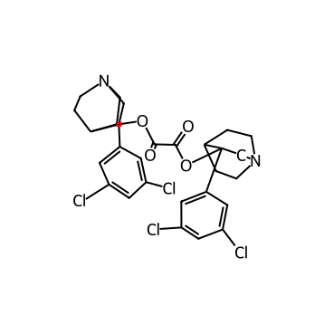 O=C(OC1(c2cc(Cl)cc(Cl)c2)CN2CCC1CC2)C(=O)OC1(c2cc(Cl)cc(Cl)c2)CN2CCC1CC2